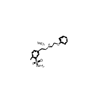 Cc1ccc(CCNCCOc2ccccc2)cc1S(N)(=O)=O.Cl